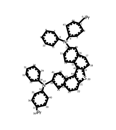 CC(C)c1ccc(N(c2ccccc2)c2ccc3c(ccc4sc5ccc6cc(N(c7ccccc7)c7ccc(C(C)C)cc7)ccc6c5c43)c2)cc1